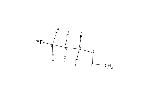 CC[CH]C(F)(F)C(F)(F)C(F)(F)F